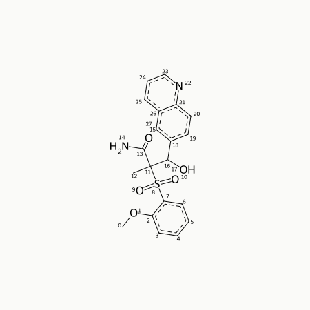 COc1ccccc1S(=O)(=O)C(C)(C(N)=O)C(O)c1ccc2ncccc2c1